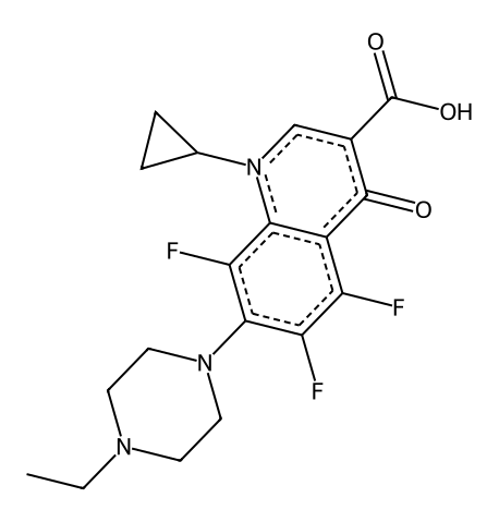 CCN1CCN(c2c(F)c(F)c3c(=O)c(C(=O)O)cn(C4CC4)c3c2F)CC1